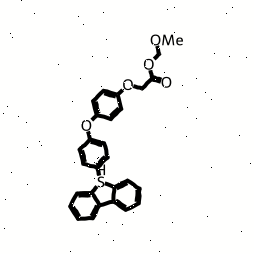 COCOC(=O)COc1ccc(Oc2ccc([SH]3c4ccccc4-c4ccccc43)cc2)cc1